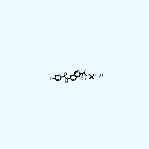 CC(C)(CNC(=O)c1ncc2cc(NC(=O)c3ccc(F)cc3)ccc2c1O)C(=O)O